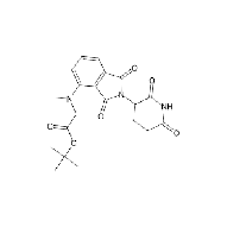 CN(CC(=O)OC(C)(C)C)c1cccc2c1C(=O)N(C1CCC(=O)NC1=O)C2=O